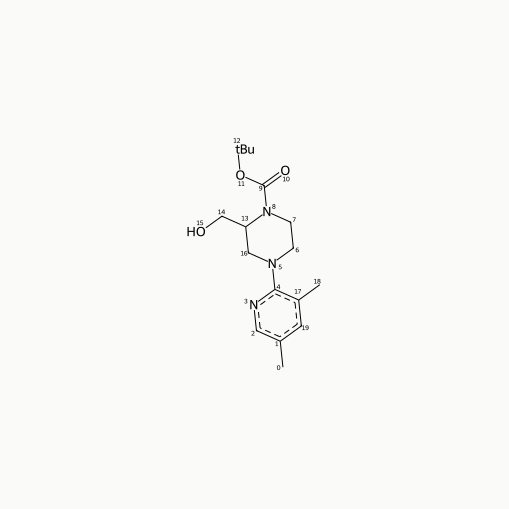 Cc1cnc(N2CCN(C(=O)OC(C)(C)C)C(CO)C2)c(C)c1